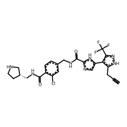 C#CCc1[nH]nc(C(F)(F)F)c1-c1cnc(C(=O)NCc2ccc(C(=O)NC[C@@H]3CCNC3)c(Cl)c2)[nH]1